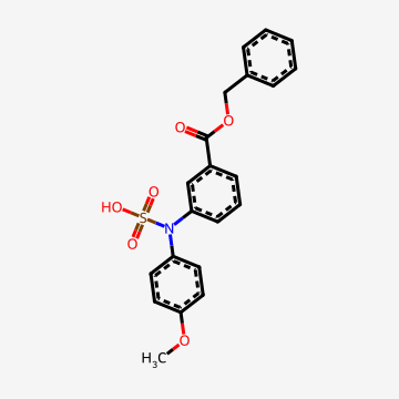 COc1ccc(N(c2cccc(C(=O)OCc3ccccc3)c2)S(=O)(=O)O)cc1